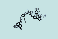 CN(CCCc1ccc(-c2ccccc2)c(N(C(=O)O)[C@H]2CC[C@H](N)CC2)c1)C(=O)CO[C@H]1CC[C@H](CNCC(O)c2ccc(O)c3[nH]c(=O)ccc23)CC1